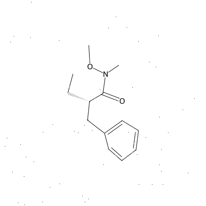 CC[C@@H](Cc1ccccc1)C(=O)N(C)OC